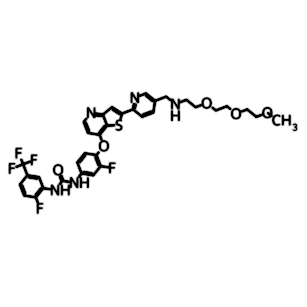 COCCOCCOCCNCc1ccc(-c2cc3nccc(Oc4ccc(NC(=O)Nc5cc(C(F)(F)F)ccc5F)cc4F)c3s2)nc1